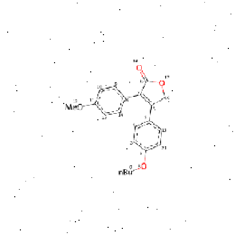 CCCCOc1ccc(C2=C(c3ccc(OC)cc3)C(=O)OC2)cc1